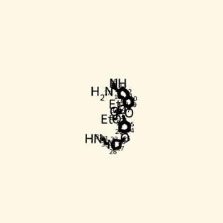 CCOP(=O)(OCC)C(Oc1ccc2ccc(C(=N)N)cc2c1)c1ccc(OC2CCN(CC=N)C2)cc1